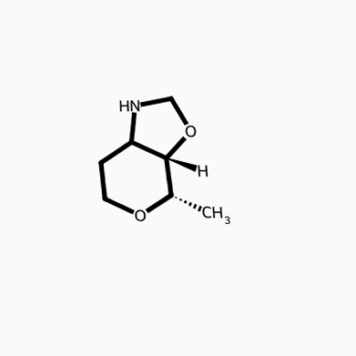 C[C@@H]1OCCC2NCO[C@@H]21